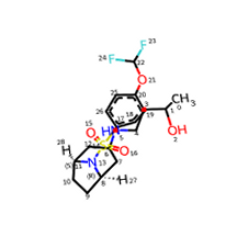 CC(O)CCNC1C[C@H]2CC[C@@H](C1)N2S(=O)(=O)c1ccc(OC(F)F)cc1